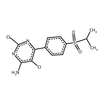 CC(C)S(=O)(=O)c1ccc(-c2nc(Cl)nc(N)c2Cl)cc1